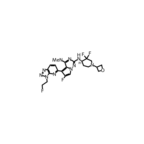 CNc1nc(N[C@@H]2CCN(C3COC3)CC2(F)F)nn2cc(F)c(-c3ccc4nnn(CCF)c4n3)c12